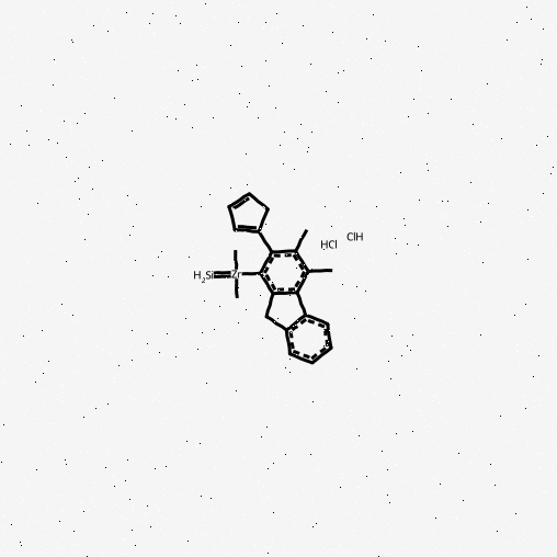 Cc1c(C)c2c([c]([Zr]([CH3])([CH3])=[SiH2])c1C1=CC=CC1)Cc1ccccc1-2.Cl.Cl